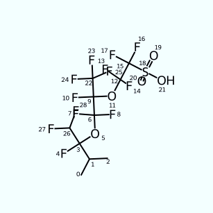 CC(C)C(F)(OC(F)(F)C(F)(OC(F)(F)C(F)(F)S(=O)(=O)O)C(F)(F)F)C(F)F